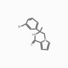 CC1(c2cccc(Br)c2)Cn2cccc2C(=S)N1